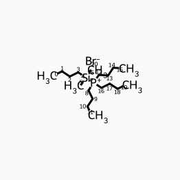 CCCC[Si](C)(C)[P+](CCCC)(CCCC)CCCC.[Br-]